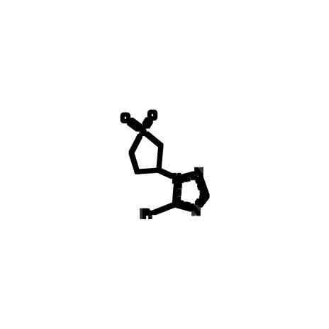 CC(C)c1ncnn1C1CCS(=O)(=O)C1